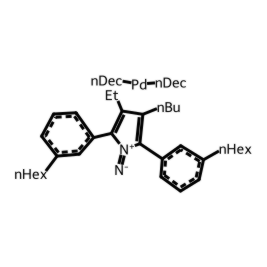 CCCCCCCCC[CH2][Pd][CH2]CCCCCCCCC.CCCCCCc1cccc(C2=C(CC)C(CCCC)=C(c3cccc(CCCCCC)c3)[N+]2=[N-])c1